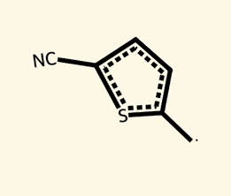 [CH2]c1ccc(C#N)s1